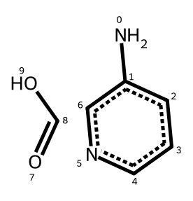 Nc1cccnc1.O=CO